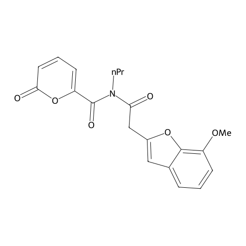 CCCN(C(=O)Cc1cc2cccc(OC)c2o1)C(=O)c1cccc(=O)o1